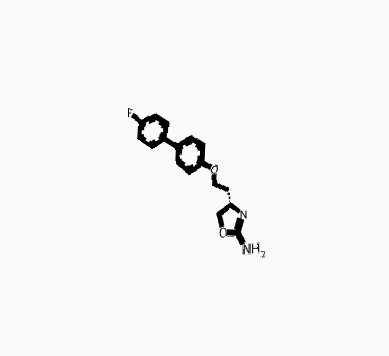 NC1=N[C@@H](CCOc2ccc(-c3ccc(F)cc3)cc2)CO1